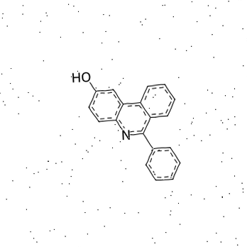 Oc1ccc2nc(-c3ccccc3)c3ccccc3c2c1